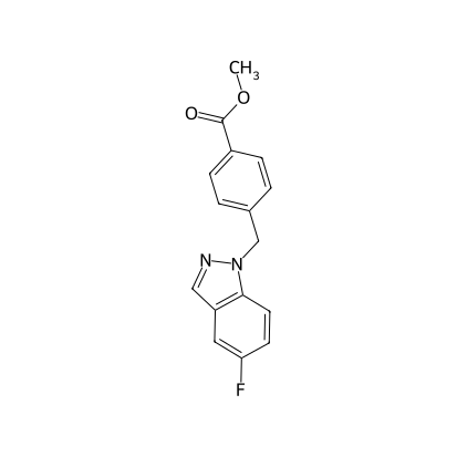 COC(=O)c1ccc(Cn2ncc3cc(F)ccc32)cc1